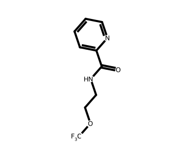 O=C(NCCOC(F)(F)F)c1ccccn1